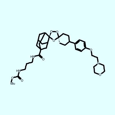 CC(C)(C)OC(=O)NCCCNC(=O)C12CC3CC(C1)[C@]1(OO[C@]4(CCC(c5ccc(OCCN6CCOCC6)cc5)CC4)O1)C(C3)C2